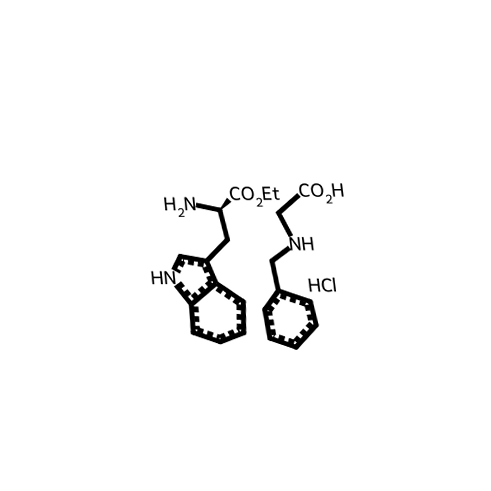 CCOC(=O)[C@H](N)Cc1c[nH]c2ccccc12.Cl.O=C(O)CNCc1ccccc1